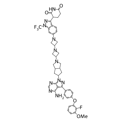 COc1cccc(Oc2ccc(-c3nn(C4CC5CN(C6CN(C7CN(c8ccc9c(C%10CCC(=O)NC%10=O)nn(C(F)(F)F)c9c8)C7)C6)CC5C4)c4ncnc(N)c34)cc2)c1F